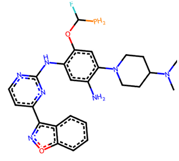 CN(C)C1CCN(c2cc(OC(F)P)c(Nc3nccc(-c4noc5ccccc45)n3)cc2N)CC1